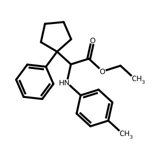 CCOC(=O)C(Nc1ccc(C)cc1)C1(c2ccccc2)CCCC1